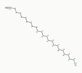 O=C(O)CCCCCCCCCCCCCCCCCCCCCCCCl